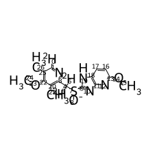 [2H]c1nc(C([2H])([2H])[S+]([O-])c2nc3nc(OC)ccc3[nH]2)c(C)c(OC)c1C